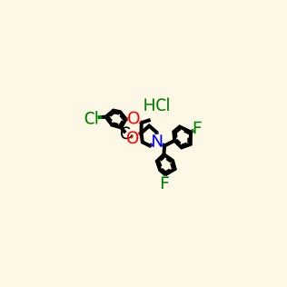 CC1Oc2ccc(Cl)cc2COC12CCN(C(c1ccc(F)cc1)c1ccc(F)cc1)CC2.Cl